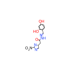 O=C(CC1C=NC([N+](=O)[O-])=N1)N/N=C/c1ccc(O)cc1O